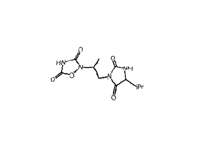 CC(C)C1NC(=O)N(CC(C)n2oc(=O)[nH]c2=O)C1=O